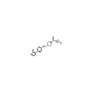 O=C(N1CCC(COc2ccc(-c3ccn[nH]3)nc2)CC1)N1CC(F)C1